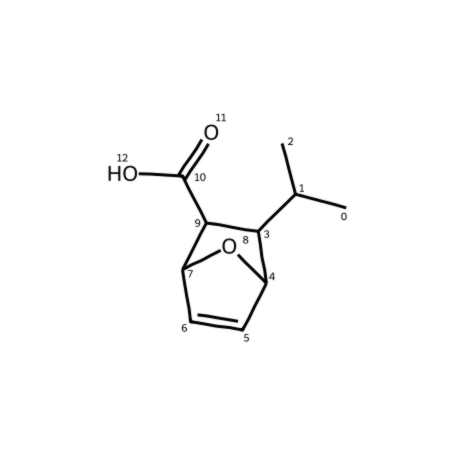 CC(C)C1C2C=CC(O2)C1C(=O)O